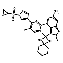 Cn1nc2cc(N)cc(-c3ncc(Cl)c(-c4cnn(S(=O)(=O)C5CC5)c4)n3)c2c1C1(C)NC2(CCCCC2)N1